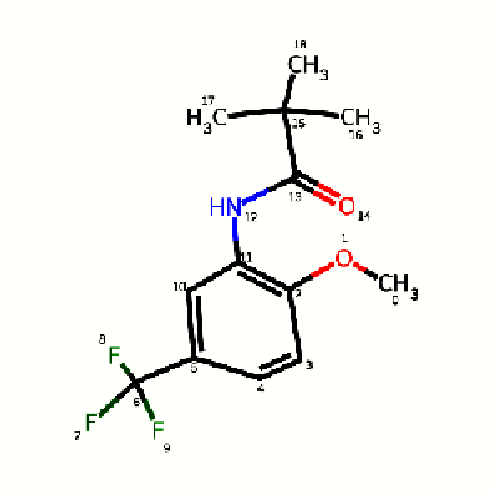 COc1ccc(C(F)(F)F)cc1NC(=O)C(C)(C)C